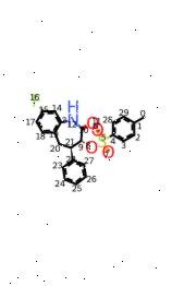 Cc1ccc(S(=O)(=O)O[C@H]2C(=O)Nc3cc(F)ccc3C[C@@H]2c2ccccc2)cc1